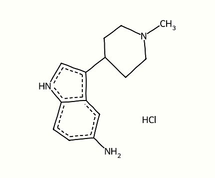 CN1CCC(c2c[nH]c3ccc(N)cc23)CC1.Cl